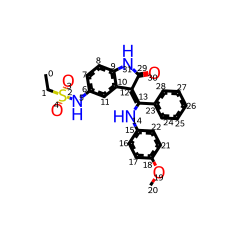 CCS(=O)(=O)Nc1ccc2c(c1)/C(=C(\Nc1ccc(OC)cc1)c1ccccc1)C(=O)N2